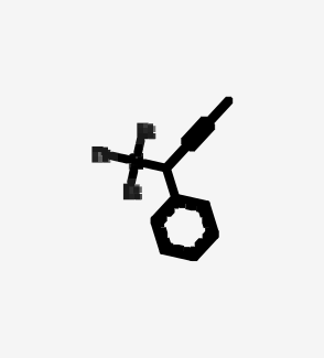 CC#CC(c1ccccc1)[Si](CC)(CC)CC